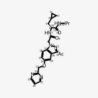 CC(=O)c1nn(CC(=O)N[C@@H](CC2CC2)C(=O)NC(C)C)c2ccc(OCc3ncccn3)cc12